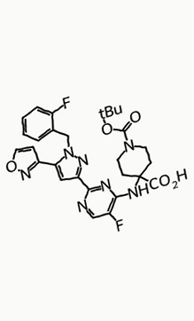 CC(C)(C)OC(=O)N1CCC(Nc2nc(-c3cc(-c4ccon4)n(Cc4ccccc4F)n3)ncc2F)(C(=O)O)CC1